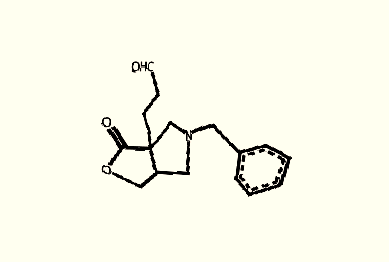 O=CCCC12CN(Cc3ccccc3)CC1COC2=O